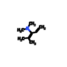 C=CC(=C(C)C)N(C)C